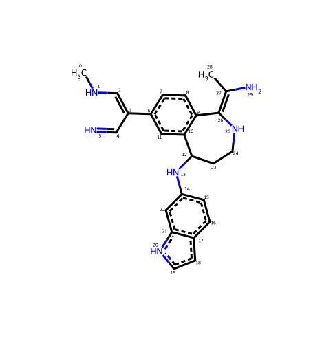 CN/C=C(\C=N)c1ccc2c(c1)C(Nc1ccc3cc[nH]c3c1)CCN/C2=C(/C)N